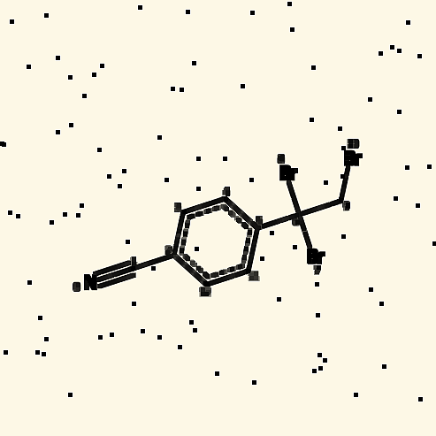 N#Cc1ccc(C(Br)(Br)CBr)cc1